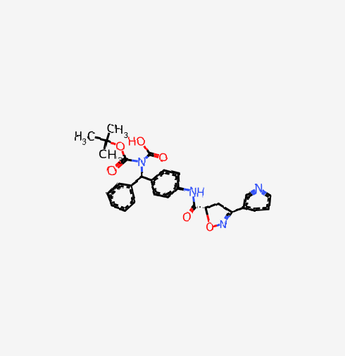 CC(C)(C)OC(=O)N(C(=O)O)C(c1ccccc1)c1ccc(NC(=O)[C@@H]2CC(c3cccnc3)=NO2)cc1